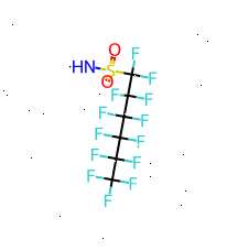 [NH]S(=O)(=O)C(F)(F)C(F)(F)C(F)(F)C(F)(F)C(F)(F)C(F)(F)F